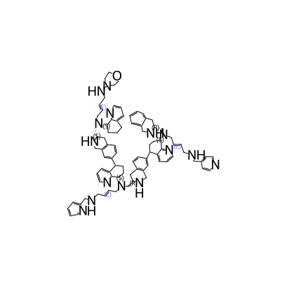 C(=C\CN(C[C@H]1Cc2ccccc2CN1)[C@H]1CCC(c2ccc3c(c2)CN[C@@H](CN(C/C=C/CNCc2ccccn2)[C@H]2CCC(c4ccc5c(c4)CN[C@H](CN(C/C=C/CNN4CCOCC4)[C@H]4CCCc6cccnc64)C5)c4cccnc42)C3)c2cccnc21)/CNCc1ccncc1